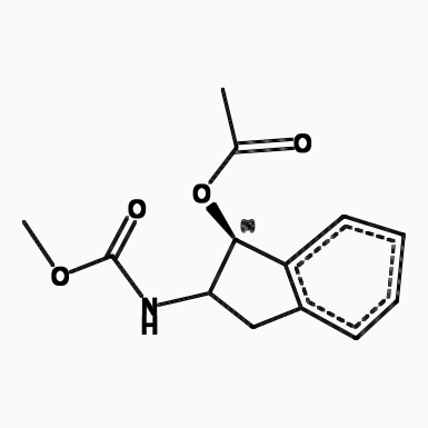 COC(=O)NC1Cc2ccccc2[C@@H]1OC(C)=O